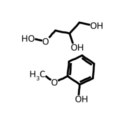 COc1ccccc1O.OCC(O)COO